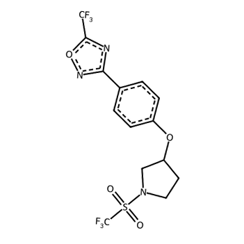 O=S(=O)(N1CCC(Oc2ccc(-c3noc(C(F)(F)F)n3)cc2)C1)C(F)(F)F